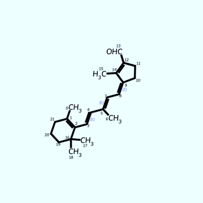 CC1=C(/C=C/C(C)=C/C=C2/CCC(C=O)=C2C)C(C)(C)CCC1